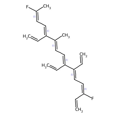 C=C\C(F)=C/C=C(C=C)/C(C=C)=C/C=C(C)/C(C=C)=C/C=C(\C)F